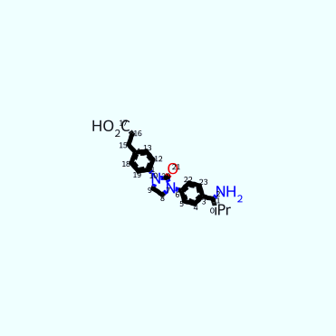 CC(C)C(N)c1ccc(N2CCN(c3ccc(CCC(=O)O)cc3)C2=O)cc1